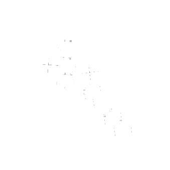 COC(=O)Nc1ccc2c(-c3nc(Nc4ccc5c(c4)CNCC5)ncc3C(F)(F)F)c[nH]c2c1C(F)(F)F